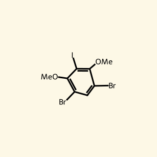 COc1c(Br)cc(Br)c(OC)c1I